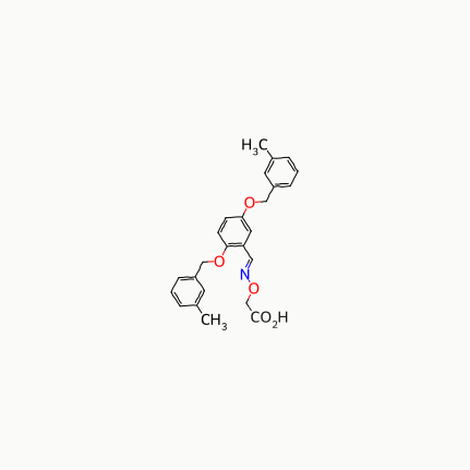 Cc1cccc(COc2ccc(OCc3cccc(C)c3)c(/C=N/OCC(=O)O)c2)c1